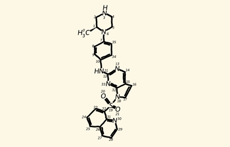 C[C@H]1CNCCN1c1ccc(Nc2ncc3ccn(S(=O)(=O)c4cccc5cccnc45)c3n2)cc1